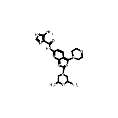 CC1CN(c2nc(N3CCOCC3)c3ccc(NC(=O)c4nc[nH]c4N)nc3n2)CC(C)O1